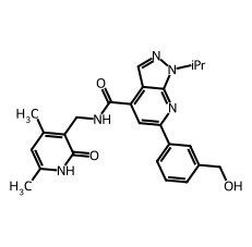 Cc1cc(C)c(CNC(=O)c2cc(-c3cccc(CO)c3)nc3c2cnn3C(C)C)c(=O)[nH]1